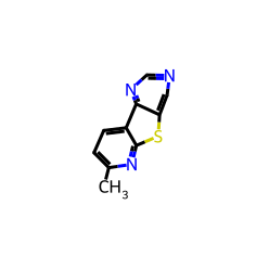 Cc1ccc2c(n1)sc1cncnc12